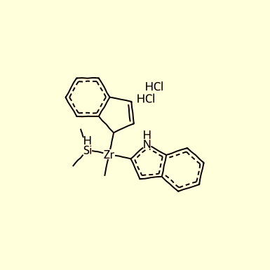 C[SiH](C)[Zr]([CH3])([c]1cc2ccccc2[nH]1)[CH]1C=Cc2ccccc21.Cl.Cl